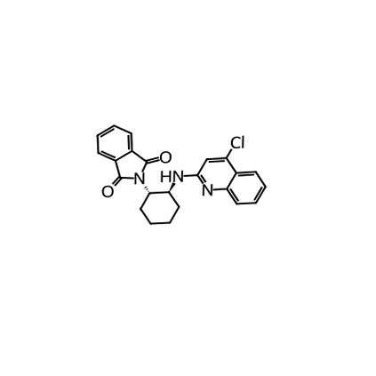 O=C1c2ccccc2C(=O)N1[C@H]1CCCC[C@@H]1Nc1cc(Cl)c2ccccc2n1